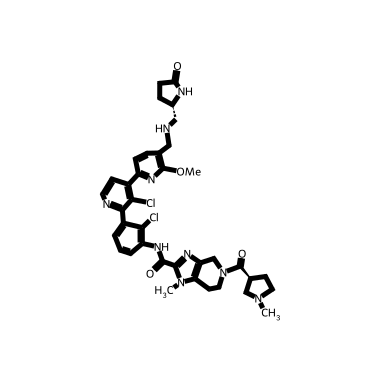 COc1nc(-c2ccnc(-c3cccc(NC(=O)c4nc5c(n4C)CCN(C(=O)[C@H]4CCN(C)C4)C5)c3Cl)c2Cl)ccc1CNC[C@@H]1CCC(=O)N1